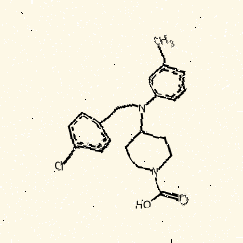 Cc1cccc(N(Cc2ccc(Cl)cc2)C2CCN(C(=O)O)CC2)c1